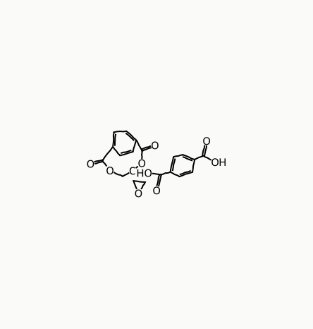 C1CO1.O=C(O)c1ccc(C(=O)O)cc1.O=C1OCCOC(=O)c2ccc1cc2